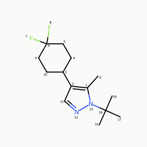 Cc1c(C2CCC(F)(F)CC2)[c]nn1C(C)(C)C